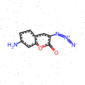 [N-]=[N+]=Nc1cc2ccc(N)cc2oc1=O